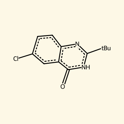 CC(C)(C)c1nc2ccc(Cl)cc2c(=O)[nH]1